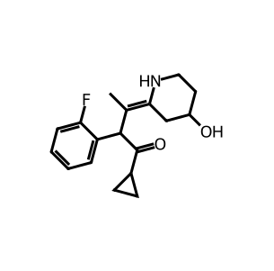 CC(=C1CC(O)CCN1)C(C(=O)C1CC1)c1ccccc1F